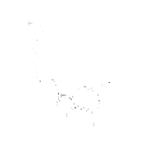 CCCC/C=C\Cn1cnc2c(Cl)nc(N)nc21